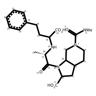 CNC(=O)N1CCC2CC(C(=O)O)N(C(=O)[C@H](C)NC(CCc3ccccc3)C(=O)O)C2C1